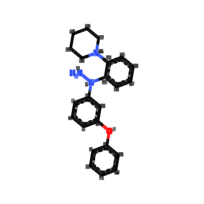 NN(c1cccc(Oc2ccccc2)c1)c1ccccc1N1CCCCC1